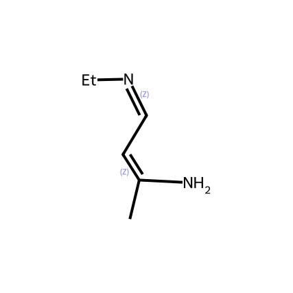 CC/N=C\C=C(\C)N